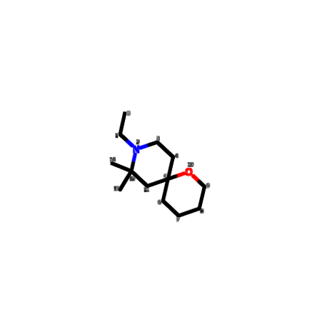 CCN1CCC2(CCCCO2)CC1(C)C